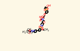 CCOc1ccc(-c2ccc(CNC(=O)OC(C)(C)C)cc2)cc1S(=O)(=O)N1CCC2(CC1)CC(N(CC(O)COc1cccc(S(=O)(=O)C3(CO)CC3)c1)C(=O)O)CO2